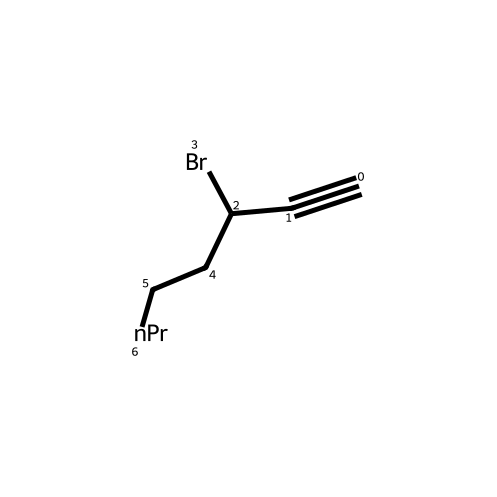 C#CC(Br)CCCCC